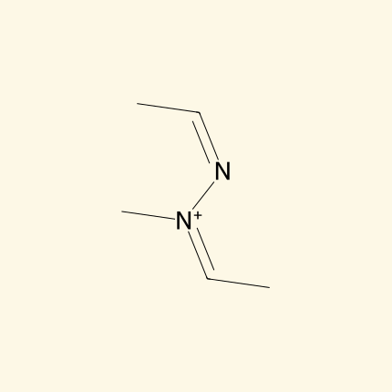 C/C=N\[N+](C)=C/C